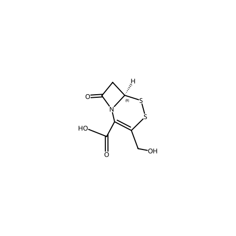 O=C(O)C1=C(CO)SS[C@@H]2CC(=O)N12